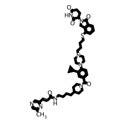 Cc1cncc(/C=C/C(=O)NCCCCC2CCN(C(=O)c3ccc(N4CCN(CCCCSc5cccc6c5CN(C5CCC(=O)NC5=O)C6=O)CC4)c(C4CC4)c3)CC2)n1